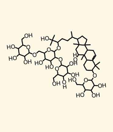 CC(CCC(OC1OC(COC2OC(CO)C(O)C(O)C2O)C(O)C(O)C1OC1OC(CO)C(O)C(O)C1O)C(C)(C)O)C1CCC2(C)C3CC=C4C(CCC(OC5OC(CO)C(O)C(O)C5O)C4(C)C)C3(C)C(O)CC12C